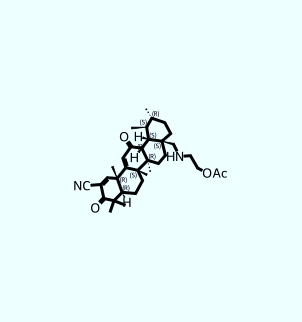 CC(=O)OCCNC[C@]12CC[C@@H](C)[C@H](C)[C@H]1[C@H]1C(=O)C=C3[C@@]4(C)C=C(C#N)C(=O)C(C)(C)[C@@H]4CC[C@@]3(C)[C@]1(C)CC2